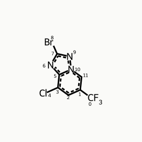 FC(F)(F)c1cc(Cl)c2nc(Br)nn2c1